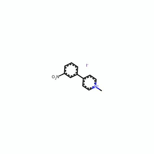 C[n+]1ccc(-c2cccc([N+](=O)[O-])c2)cc1.[I-]